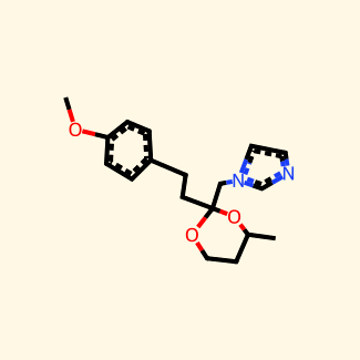 COc1ccc(CCC2(Cn3ccnc3)OCCC(C)O2)cc1